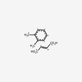 Cc1ccccc1C.O=C(O)C=CC(=O)O